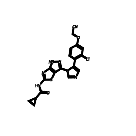 N#CCOc1ccc(-c2cncn2-c2n[nH]c3nc(NC(=O)C4CC4)sc23)c(Cl)c1